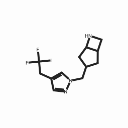 FC(F)(I)Cc1cnn(CC2CC3CNC3C2)c1